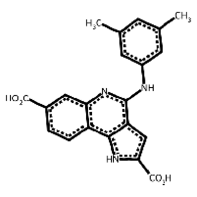 Cc1cc(C)cc(Nc2nc3cc(C(=O)O)ccc3c3[nH]c(C(=O)O)cc23)c1